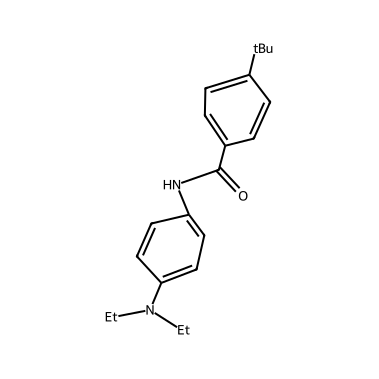 CCN(CC)c1ccc(NC(=O)c2ccc(C(C)(C)C)cc2)cc1